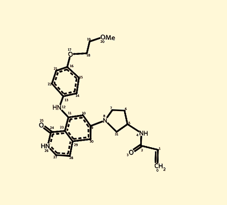 C=CC(=O)NC1CCN(c2cc(Nc3ccc(OCCOC)cc3)c3c(=O)[nH]ccc3c2)C1